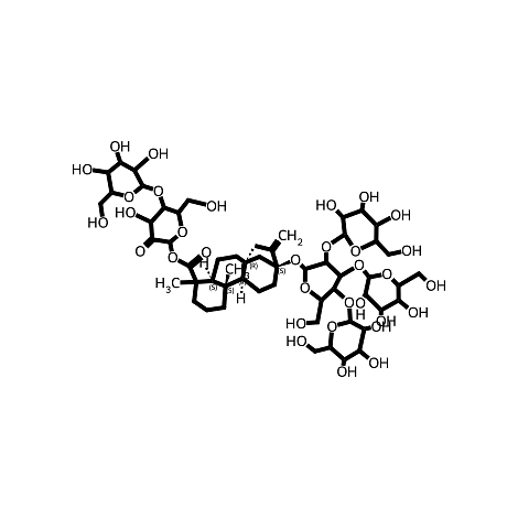 C=C1C[C@@]23CC[C@@H]4C(C)(C(=O)OC5OC(CO)C(OC6OC(CO)C(O)C(O)C6O)C(O)C5=O)CCC[C@@]4(C)[C@@H]2CC[C@]1(OC1OC(CO)C(OC2OC(CO)C(O)C(O)C2O)C(OC2OC(CO)C(O)C(O)C2O)C1OC1OC(CO)C(O)C(O)C1O)C3